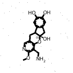 COc1ncc2c(c1CN)O[C@@]1(O)Cc3cc(O)c(O)cc3C1C2